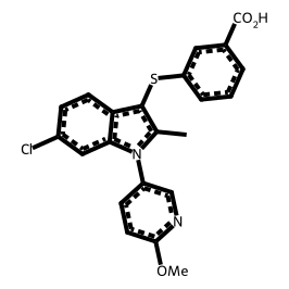 COc1ccc(-n2c(C)c(Sc3cccc(C(=O)O)c3)c3ccc(Cl)cc32)cn1